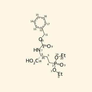 CCOP(=O)(CC[C@@H](NC(=O)OCc1ccccc1)C(=O)O)OCC